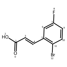 O=C(O)/C=C/c1cc(F)ccc1Br